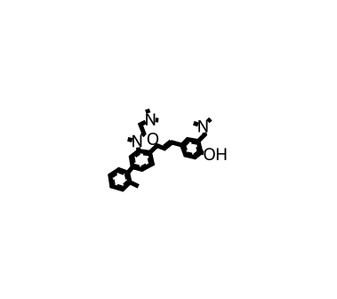 Cc1ccccc1-c1ccc(C(=O)C=Cc2ccc(O)c(CN(C)C)c2)c(N(C)CCN(C)C)c1